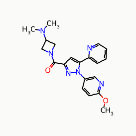 COc1ccc(-n2nc(C(=O)N3CC(N(C)C)C3)cc2-c2ccccn2)cn1